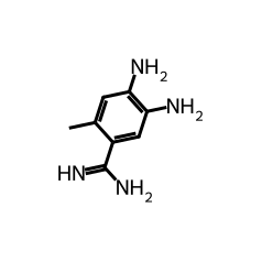 Cc1cc(N)c(N)cc1C(=N)N